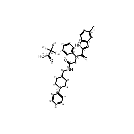 O=C(CN(C(=O)c1cc2cc(Cl)ccc2[nH]1)c1ccccc1)NCC1CCN(c2ccncc2)CC1.O=C(O)C(F)(F)F